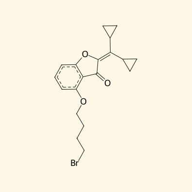 O=C1C(=C(C2CC2)C2CC2)Oc2cccc(OCCCCBr)c21